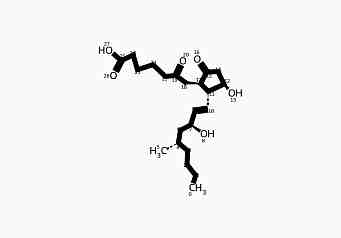 CCCC[C@H](C)C[C@H](O)C=C[C@H]1[C@H](O)CC(=O)[C@@H]1CC(=O)CCCCC(=O)O